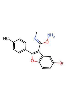 CN=C(ON)c1c(-c2ccc(C#N)cc2)oc2ccc(Br)cc12